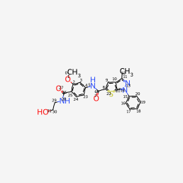 COc1cc(NC(=O)c2cc3c(C)nn(-c4ccccc4)c3s2)ccc1C(=O)NCCO